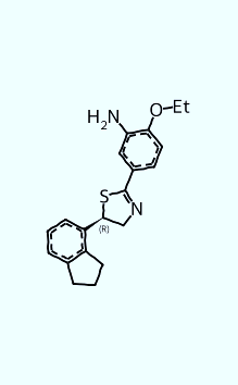 CCOc1ccc(C2=NC[C@@H](c3cccc4c3CCC4)S2)cc1N